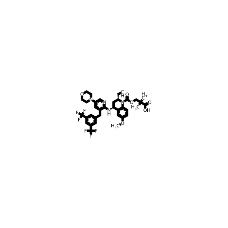 CC[C@@H]1C[C@H](Nc2ncc(N3CCOCC3)cc2Cc2cc(C(F)(F)F)cc(C(F)(F)F)c2)c2cc(OC)ccc2N1C(=O)OCC(C)(C)C(=O)O